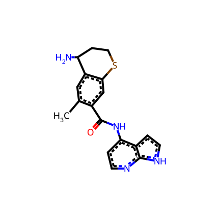 Cc1cc2c(cc1C(=O)Nc1ccnc3[nH]ccc13)SCCC2N